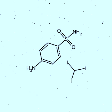 IC(I)I.Nc1ccc(S(N)(=O)=O)cc1